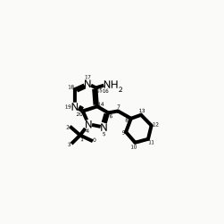 CC(C)(C)n1nc(CC2CCCCC2)c2c(N)ncnc21